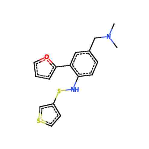 CN(C)Cc1ccc(NSc2ccsc2)c(-c2ccco2)c1